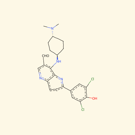 CN(C)[C@H]1CC[C@H](Nc2c(C=O)cnc3ccc(-c4cc(Cl)c(O)c(Cl)c4)nc23)CC1